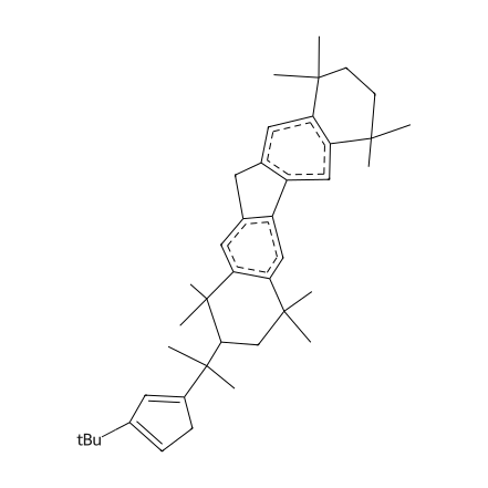 CC(C)(C)C1=CCC(C(C)(C)C2CC(C)(C)c3cc4c(cc3C2(C)C)Cc2cc3c(cc2-4)C(C)(C)CCC3(C)C)=C1